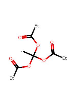 [CH2]C(OC(=O)CC)(OC(=O)CC)OC(=O)CC